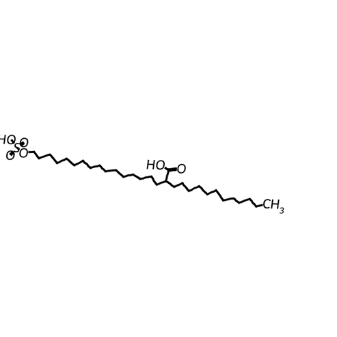 CCCCCCCCCCCCC(CCCCCCCCCCCCCCCCOS(=O)(=O)O)C(=O)O